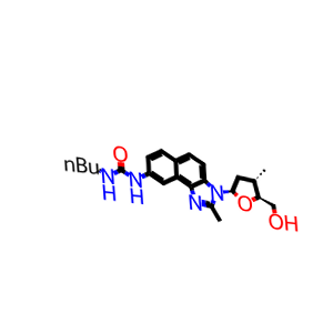 CCCCNC(=O)Nc1ccc2ccc3c(nc(C)n3[C@H]3C[C@H](C)[C@@H](CO)O3)c2c1